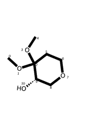 COC1(OC)CCOC[C@@H]1O